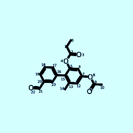 CCC(=O)Oc1cc(OC(C)=O)cc(C)c1-c1cccc(C=O)c1